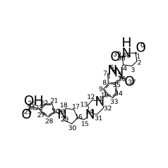 O=C1CCC(n2ncc3cc(N4CCN(CC5CCN(c6ccc(C(=O)O)cc6)CC5)CC4)ccc3c2=O)C(=O)N1